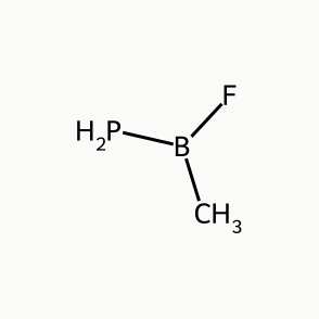 CB(F)P